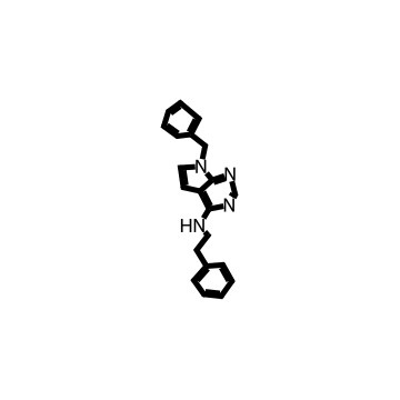 c1ccc(CCNc2ncnc3c2ccn3Cc2ccccc2)cc1